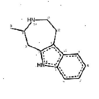 CC1Cc2[nH]c3ccccc3c2CCN1